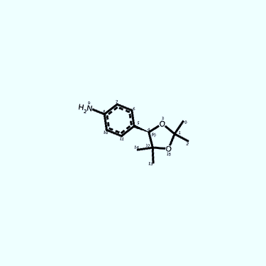 CC1(C)O[C@H](c2ccc(N)cc2)C(C)(C)O1